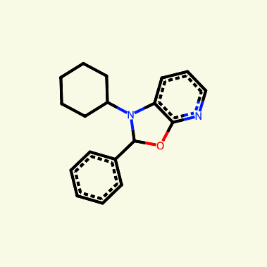 c1ccc(C2Oc3ncccc3N2C2CCCCC2)cc1